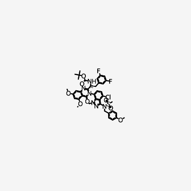 COc1ccc(CN(c2nn(C)c3c(-n4c([C@H](Cc5cc(F)cc(F)c5)NC(=O)OC(C)(C)C)nc5cc(OC)cc(OC)c5c4=O)ccc(Cl)c23)S(C)(=O)=O)cc1